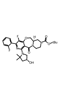 CC(C)(C)OC(=O)N1CCN2C(=O)c3c(N4C[C@@H](O)CC4(C)C)nc(-c4ccccc4F)c(F)c3OC[C@H]2C1